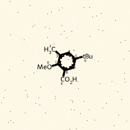 COc1c(C)cc(C(C)(C)C)cc1C(=O)O